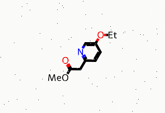 CCOc1ccc(CC(=O)OC)nc1